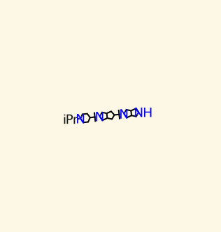 CC(C)N1CCC(C(C)(C)N2CC3CC(C(C)(C)N4CC5CNCC5C4)CC3C2)CC1